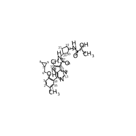 Cc1ccc(OCC2CC2)c(-c2ncnc3c(C(=O)N[C@H]4CC[C@@H](NC(=O)[C@H](C)O)C4)c(C)[nH]c23)c1